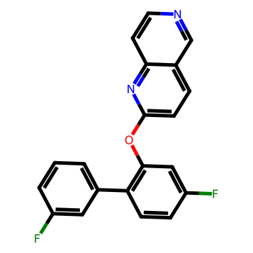 Fc1cccc(-c2ccc(F)cc2Oc2ccc3cnccc3n2)c1